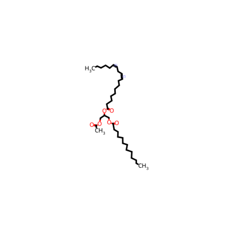 CCCCC/C=C\C/C=C\CCCCCCCC(=O)OC(COC(C)=O)COC(=O)CCCCCCCCCCCC